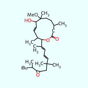 CCC(C)C(C)C1OC1CC(C)(C)/C=C/C=C(\C)C1OC(=O)CC(C)CCC(C)(OC)C(O)/C=C/C1C